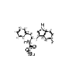 Cc1ccc2[nH]cc(C[C@@H](Cc3ccccc3)NC(=O)OC(C)(C)C)c2c1